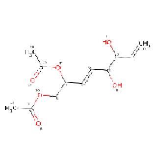 C=CC(O)C(O)C=CC(COC(C)=O)OC(C)=O